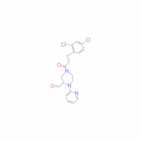 O=CC1CN(C(=O)CCc2ccc(Cl)cc2Cl)CCN1c1ccccn1